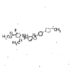 CCC1CCC(c2ccc(-c3nc4cc(SNc5cc(F)c(C(=O)OC)cc5OC)ccc4o3)cc2)CC1